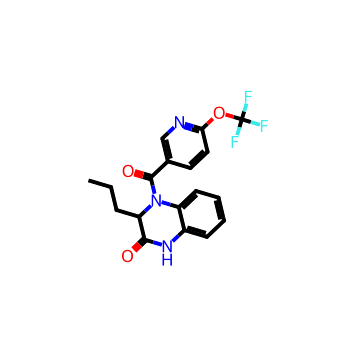 CCCC1C(=O)Nc2ccccc2N1C(=O)c1ccc(OC(F)(F)F)nc1